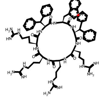 N=C(N)NCCC[C@@H]1NC(=O)[C@H](CCCNC(=N)N)NC(=O)[C@H](CCCNC(=N)N)NC(=O)[C@H](C(c2ccccc2)c2ccccc2)NC(=O)[C@H](Cc2c[nH]c3ccccc23)NC(=O)[C@H](C(c2ccccc2)c2ccccc2)NC(=O)[C@H](CCCNC(=N)N)NC1=O